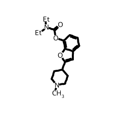 CCN(CC)C(=O)Oc1cccc2cc(C3CCN(C)CC3)oc12